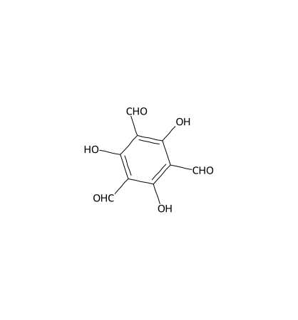 O=Cc1c(O)c(C=O)c(O)c(C=O)c1O